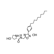 CCCCCCCCCCc1ccc(-c2noc(CNC(=O)[C@@H]3C[C@H](O)CN3)n2)cc1.Cl